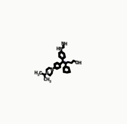 CC(C)N1CCN(c2ccc(/C(=C(/CCCO)c3ccccc3)c3ccc(NC=N)cc3)cc2)CC1